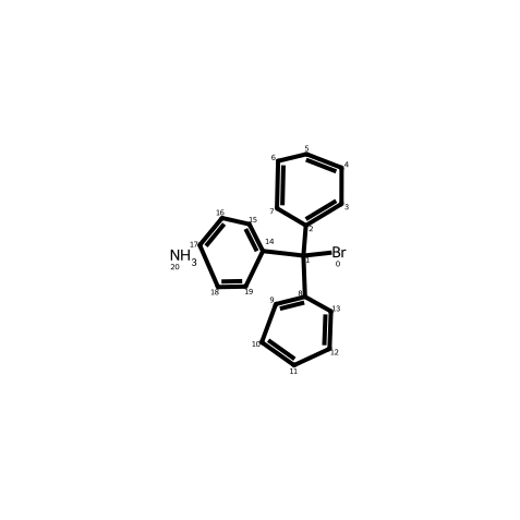 BrC(c1ccccc1)(c1ccccc1)c1ccccc1.N